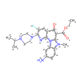 CCOC(=O)c1c(=O)c2cc(F)c(N3CCN(C(C)C)CC3)nc2n2c3cc(N)ccc3n(C)c12